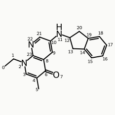 CCn1cc(C)c(=O)c2cc(NC3Cc4ccccc4C3)cnc21